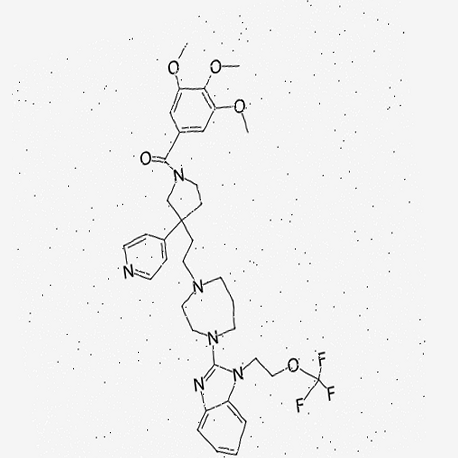 COc1cc(C(=O)N2CCC(CCN3CCCN(c4nc5ccccc5n4CCOC(F)(F)F)CC3)(c3ccncc3)C2)cc(OC)c1OC